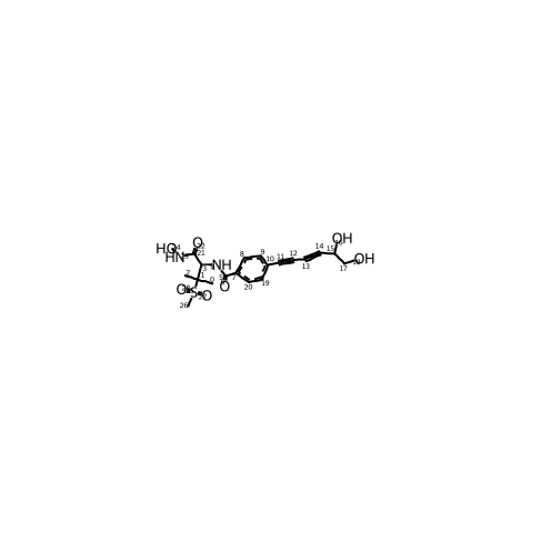 CC(C)([C@H](NC(=O)c1ccc(C#CC#CC(O)CO)cc1)C(=O)NO)S(C)(=O)=O